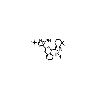 CC(C)(C)c1cc(-c2cc3ccccc3c(-c3c4c(nn3PI)C(C)(C)CCC4)n2)n(PI)n1